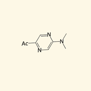 CC(=O)c1cnc(N(C)C)cn1